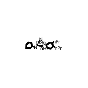 CCCCCCC(=N\c1ccc(CCC)c(CCC)c1)/C(CCCC)=N/c1ccccc1.[Ni]